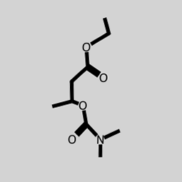 CCOC(=O)CC(C)OC(=O)N(C)C